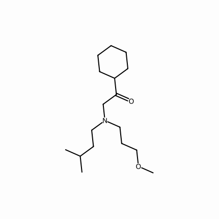 COCCCN(CCC(C)C)CC(=O)C1CCCCC1